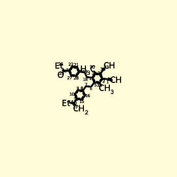 C#Cc1c(C)c(CCc2ccc(C(=C)CC)cc2)c(CCc2ccc(C(=O)CC)cc2)c(C)c1C#C